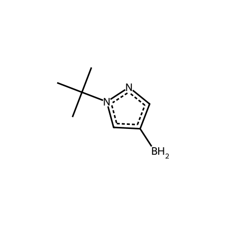 Bc1cnn(C(C)(C)C)c1